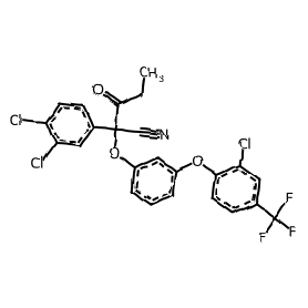 CCC(=O)C(C#N)(Oc1cccc(Oc2ccc(C(F)(F)F)cc2Cl)c1)c1ccc(Cl)c(Cl)c1